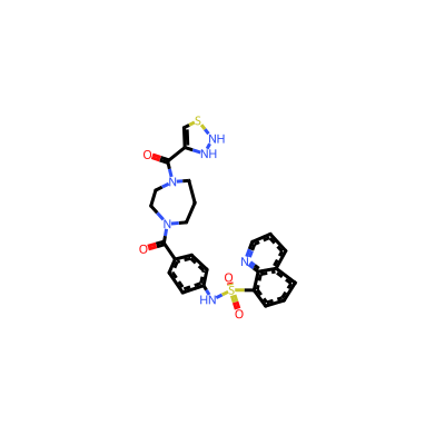 O=C(C1=CSNN1)N1CCCN(C(=O)c2ccc(NS(=O)(=O)c3cccc4cccnc34)cc2)CC1